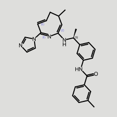 Cc1cccc(C(=O)Nc2cccc([C@H](C)NC3=C/C(C)C/C=C/C(n4ccnc4)=N\3)c2)c1